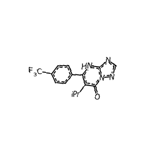 CC(C)c1c(-c2ccc(C(F)(F)F)cc2)[nH]c2ncnn2c1=O